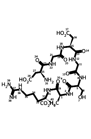 C[C@H](NC(=O)[C@H](CO)NC(=O)CNC(=O)[C@H](CC(=O)O)NC(=O)CNC(=O)[C@@H](N)CC(=O)O)C(=O)N[C@@H](CCCNC(=N)N)C(=O)O